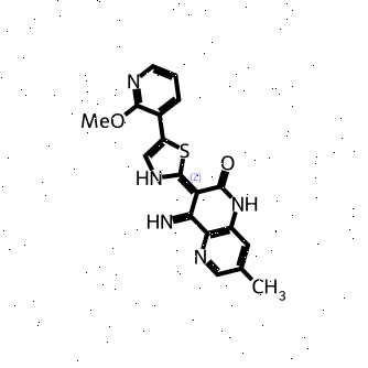 COc1ncccc1C1=CN/C(=C2\C(=N)c3ncc(C)cc3NC2=O)S1